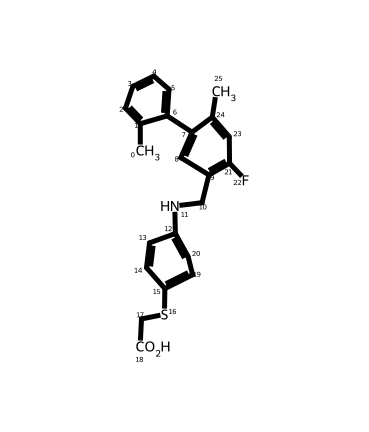 Cc1ccccc1-c1cc(CNc2ccc(SCC(=O)O)cc2)c(F)cc1C